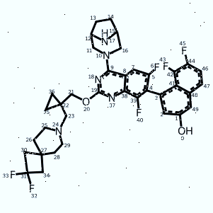 Oc1cc(-c2c(F)cc3c(N4CC5CCC(C4)N5)nc(OCC4(CN5CCC6(CC5)CC(F)(F)C6)CC4)nc3c2F)c2c(F)c(F)ccc2c1